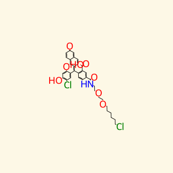 O=C(NCCOCCOCCCCCCCl)c1ccc(-c2c3cc(Cl)c(O)cc3oc3c2ccc2cc(=O)ccc23)c(C(=O)O)c1